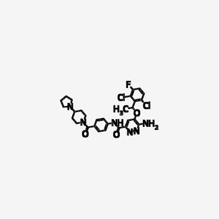 CC(Oc1cc(C(=O)Nc2ccc(C(=O)N3CCC(N4CCCC4)CC3)cc2)nnc1N)c1c(Cl)ccc(F)c1Cl